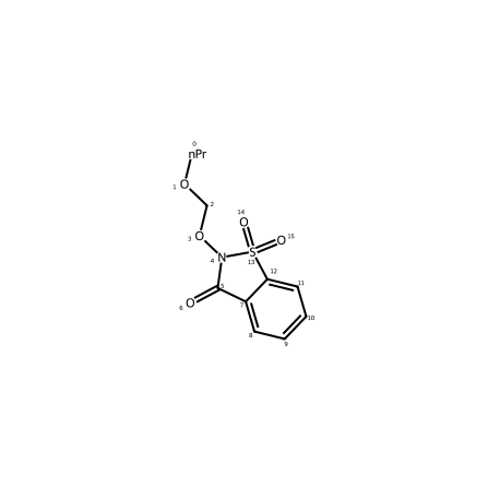 CCCOCON1C(=O)c2ccccc2S1(=O)=O